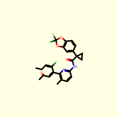 CC/C=C(F)\C(=C/C(C)=O)c1nc(NC(=O)C2(c3ccc4c(c3)OC(F)(F)O4)CC2)ccc1C